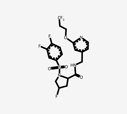 O=C(NCc1ccnc(OCCC(F)(F)F)c1)C1CC(F)CN1S(=O)(=O)c1ccc(F)c(F)c1